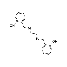 O=Nc1ccccc1CNCCNCc1ccccc1O